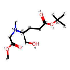 COC(=O)CN(C)[C@H](CO)CCC(=O)OC(C)(C)C